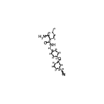 CC/C=C\C(C(=O)NCc1ccc(Oc2cccc(C#N)c2)cc1)=C(/C)N